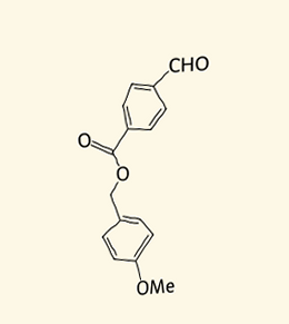 COc1ccc(COC(=O)c2ccc(C=O)cc2)cc1